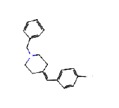 COc1ccc(C=C2CCN(Cc3ccccc3)CC2)cc1